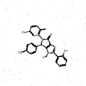 Cc1ccc(Cl)cc1N1C(=O)c2nc(-c3ccccc3O)n(C(C)C)c2C1c1ccc(C#N)cc1